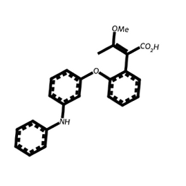 COC(C)=C(C(=O)O)c1ccccc1Oc1cccc(Nc2ccccc2)c1